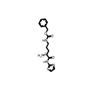 N[C@@H](CCCNC(=O)OCc1ccccc1)C(=O)Nc1nccs1